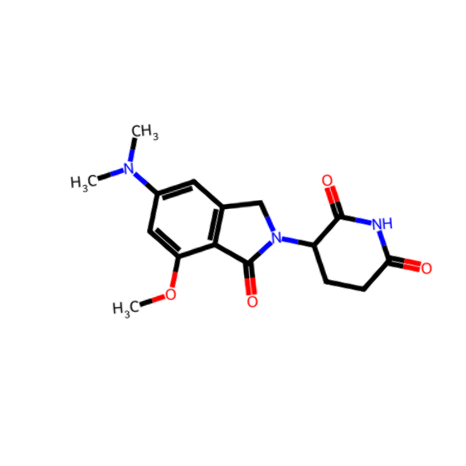 COc1cc(N(C)C)cc2c1C(=O)N(C1CCC(=O)NC1=O)C2